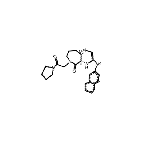 O=C(CN1CCCC[C@H](NC(=C[N+](=O)[O-])Nc2ccc3ccccc3c2)C1=O)N1CCCC1